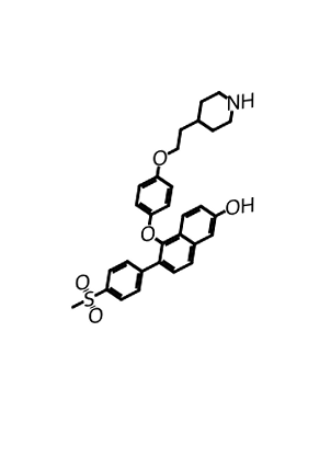 CS(=O)(=O)c1ccc(-c2ccc3cc(O)ccc3c2Oc2ccc(OCCC3CCNCC3)cc2)cc1